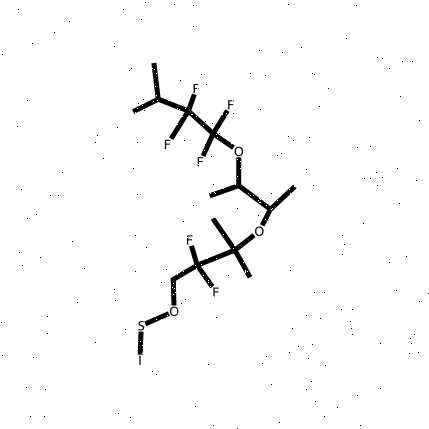 CC(OC(C)(C)C(F)(F)COSI)C(C)OC(F)(F)C(F)(F)C(C)C